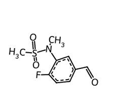 CN(c1cc(C=O)ccc1F)S(C)(=O)=O